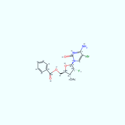 CC(=O)O[C@H]1[C@@H](F)[C@H](n2cc(Br)c(N)nc2=O)O[C@@H]1COC(=O)c1ccccc1